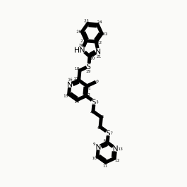 Cc1c(SCCCSc2ncccn2)ccnc1CSc1nc2ccccc2[nH]1